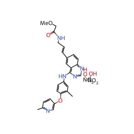 COCC(=O)NCC=Cc1ccc2ncnc(Nc3ccc(Oc4ccc(C)nc4)c(C)c3)c2c1.O=[N+]([O-])O.O=[N+]([O-])O